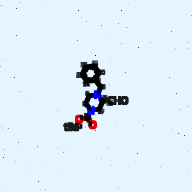 CC(C)(C)OC(=O)N1CCN(Cc2ccccc2)[C@H](C=O)C1